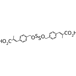 CC(=Cc1ccc(COSSOCc2ccc(C=C(C)C(=O)O)cc2)cc1)C(=O)O